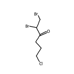 O=C(CCCCl)C(Br)CBr